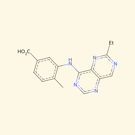 CCc1ncc2ncnc(Nc3cc(C(=O)O)ccc3C)c2n1